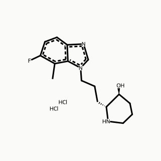 Cc1c(F)ccc2ncn(CCC[C@H]3NCCC[C@@H]3O)c12.Cl.Cl